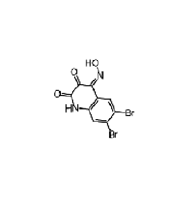 O=C1Nc2cc(Br)c(Br)cc2/C(=N/O)C1=O